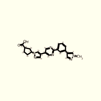 Cn1cc(-c2cccc(-c3ncc(-c4cnn(C5CCC(C(=O)O)C5)c4)cn3)c2)cn1